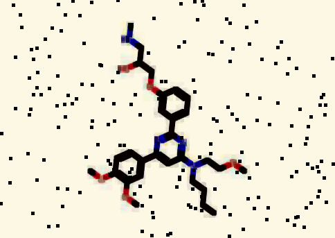 CCCCN(CCOC)c1cc(-c2ccc(OC)c(OC)c2)nc(-c2cccc(OCC(O)CNC)c2)n1